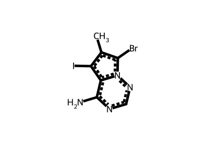 Cc1c(I)c2c(N)ncnn2c1Br